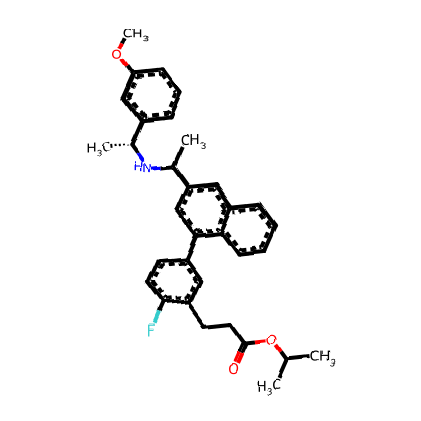 COc1cccc([C@@H](C)NC(C)c2cc(-c3ccc(F)c(CCC(=O)OC(C)C)c3)c3ccccc3c2)c1